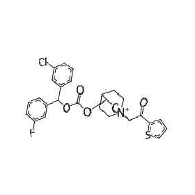 O=C(OC(c1cccc(F)c1)c1cccc(Cl)c1)OC1C[N+]2(CC(=O)c3cccs3)CCC1CC2